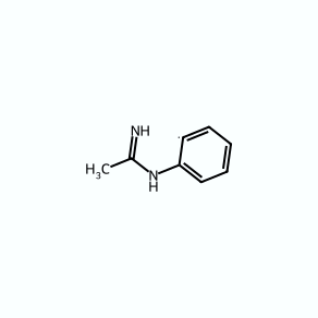 CC(=N)Nc1[c]cccc1